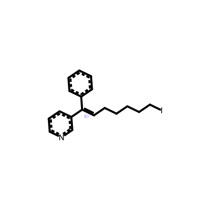 ICCCCC/C=C(\c1ccccc1)c1cccnc1